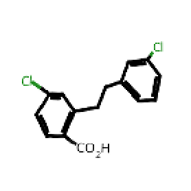 O=C(O)c1ccc(Cl)cc1CCc1cccc(Cl)c1